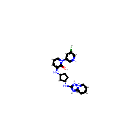 O=c1c(N[C@H]2CC[C@H](Nc3nc4ccccn4n3)C2)cccn1-c1cncc(F)c1